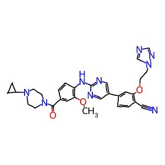 COc1cc(C(=O)N2CCN(C3CC3)CC2)ccc1Nc1ncc(-c2ccc(C#N)c(OCCn3cncn3)c2)cn1